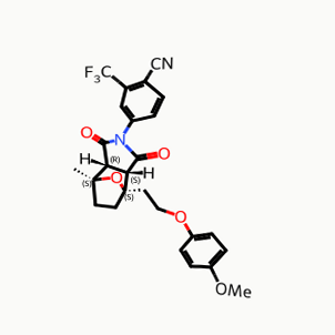 COc1ccc(OCC[C@]23CC[C@](C)(O2)[C@@H]2C(=O)N(c4ccc(C#N)c(C(F)(F)F)c4)C(=O)[C@@H]23)cc1